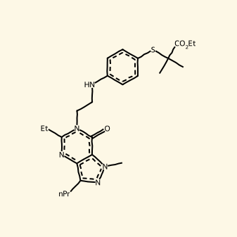 CCCc1nn(C)c2c(=O)n(CCNc3ccc(SC(C)(C)C(=O)OCC)cc3)c(CC)nc12